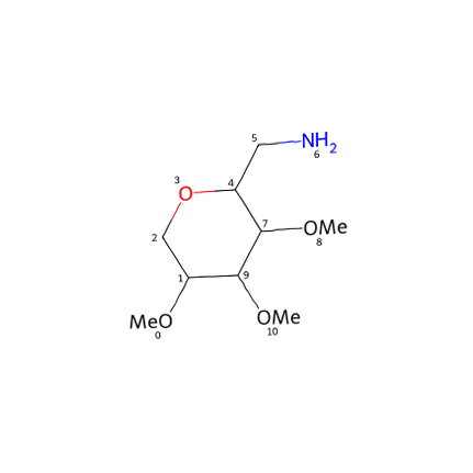 COC1COC(CN)C(OC)C1OC